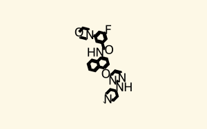 CN1CCC(Nc2nccc(Oc3ccc(NC(=O)c4cc(F)cc(N5CCOCC5)c4)c4ccccc34)n2)CC1